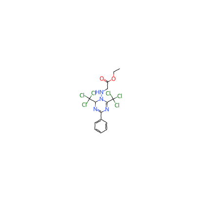 CCOC(=O)CNN1C(C(Cl)(Cl)Cl)=NC(c2ccccc2)=NC1C(Cl)(Cl)Cl